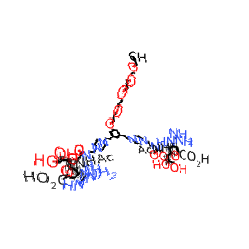 C#CCOCCOCCOCCOCCOc1cc(CCN2CCN(CCNC(=O)CO[C@@H]([C@@H]3OC(C(=O)O)=C[C@H](NC(=N)N)[C@H]3NC(C)=O)[C@H](O)CO)CC2)cc(CCN2CCN(CCNC(=O)CO[C@@H]([C@@H]3OC(C(=O)O)=C[C@H](NC(=N)N)[C@H]3NC(C)=O)[C@H](O)CO)CC2)c1